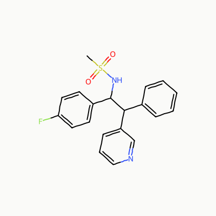 CS(=O)(=O)NC(c1ccc(F)cc1)C(c1ccccc1)c1cccnc1